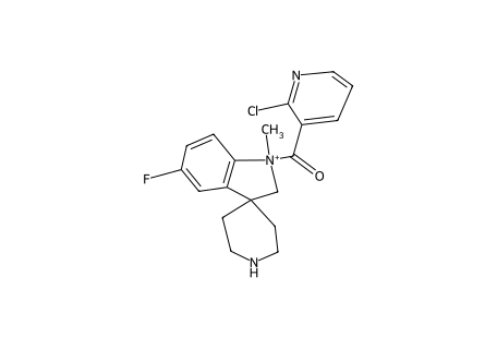 C[N+]1(C(=O)c2cccnc2Cl)CC2(CCNCC2)c2cc(F)ccc21